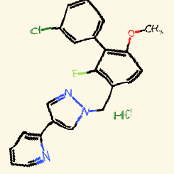 COc1ccc(Cn2cc(-c3ccccn3)cn2)c(F)c1-c1cccc(Cl)c1.Cl